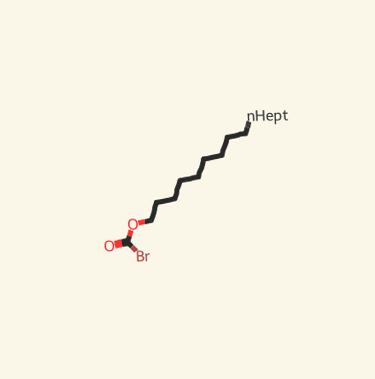 CCCCCCCCCCCCCCCCOC(=O)Br